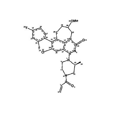 C=CC(=O)N1CCN(c2nc(=O)n3c4c(c(-c5ccc(F)cc5F)c(Cl)cc24)SCC(OC)C3)[C@@H](C)C1